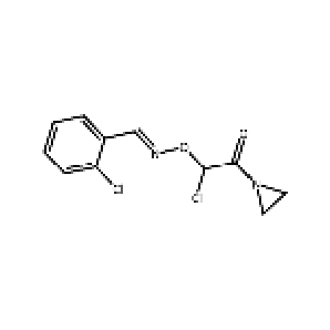 O=C(C(Cl)ON=Cc1ccccc1Cl)N1CC1